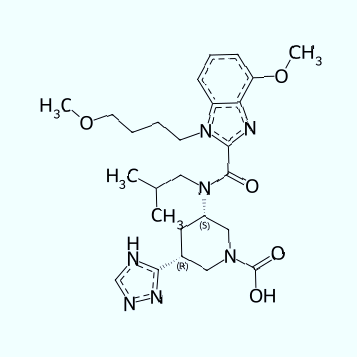 COCCCCn1c(C(=O)N(CC(C)C)[C@H]2C[C@@H](c3nnc[nH]3)CN(C(=O)O)C2)nc2c(OC)cccc21